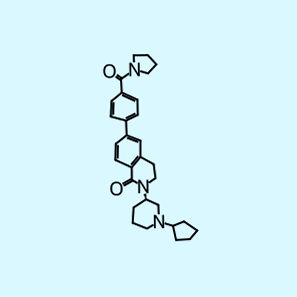 O=C(c1ccc(-c2ccc3c(c2)CCN([C@@H]2CCCN(C4CCCC4)C2)C3=O)cc1)N1CCCC1